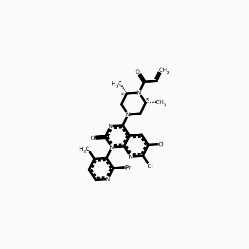 C=CC(=O)N1[C@H](C)CN(c2nc(=O)n(-c3c(C)ccnc3C(C)C)c3nc(Cl)c(Cl)cc23)C[C@@H]1C